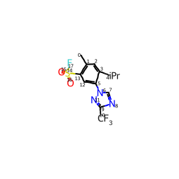 Cc1cc(C(C)C)c(-n2cnc(C(F)(F)F)n2)cc1S(=O)(=O)F